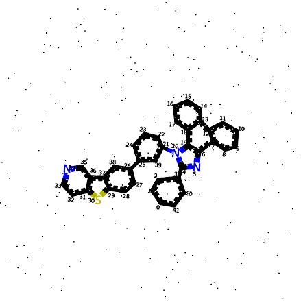 c1ccc(-c2nc3c4ccccc4c4ccccc4c3n2-c2cccc(-c3ccc4sc5ccncc5c4c3)c2)cc1